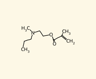 C=C(C)C(=O)OCCN(C)CCC